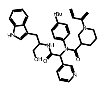 C=CC(=C)N1CCCC(C(=O)N(c2ccc(C(C)(C)C)cc2)C(C(=O)NC(CO)Cc2c[nH]c3ccccc23)c2cccnc2)C1